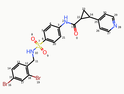 O=C(Nc1ccc(S(=O)(=O)NCc2ccc(Br)cc2Br)cc1)C1CC1c1ccncc1